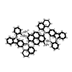 CCCc1cc(N(c2ccc3c4ccccc4n(-c4ccccc4C(C)(C)C)c3c2)c2cccc3c2CCCC3)c2ccc3c(CCC)cc(N(c4ccc5c6ccccc6n(-c6ccccc6C(C)(C)C)c5c4)c4cccc5c4CCCC5)c4ccc1c2c34